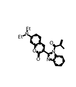 C=C(C)C(=O)n1c(-c2cc3ccc(N(CC)CC)cc3oc2=O)nc2ccccc21